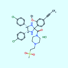 CCOc1cc(C#CC(F)(F)F)ccc1C1(C(=O)N2CCN(CCS(C)(=O)=O)CC2)N[C@H](c2ccc(Cl)cc2)[C@H](c2ccc(Cl)cc2)N1.Cl